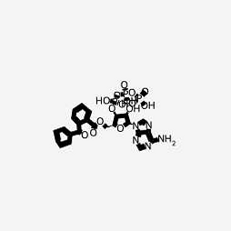 Nc1ncnc2c1ncn2[C@@H]1O[C@H](COC(=O)c2ccccc2C(=O)c2ccccc2)[C@@H](OP(=O)(O)OP(=O)(O)OP(=O)(O)O)[C@H]1O